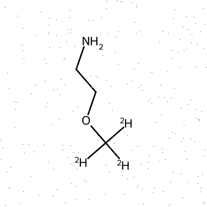 [2H]C([2H])([2H])OCCN